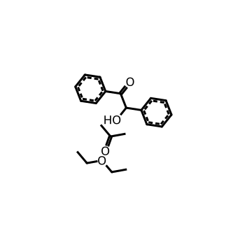 CC(C)=O.CCOCC.O=C(c1ccccc1)C(O)c1ccccc1